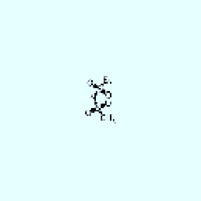 CCS(=O)(=O)[N]S(C)(=O)=O